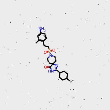 Cc1cc(N)ccc1CCS(=O)(=O)N1CCC2(CC1)N=C(C1CCC(C(C)C)CC1)NC2=O